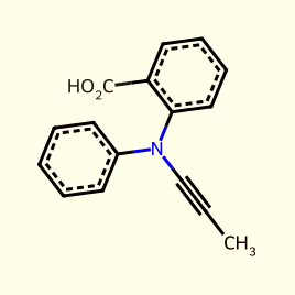 CC#CN(c1ccccc1)c1ccccc1C(=O)O